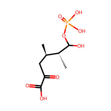 C[C@H](CC(=O)C(=O)O)[C@@H](C)C(O)OP(=O)(O)O